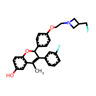 CC1=C(c2cccc(F)c2)C(c2ccc(OCCN3CC(CF)C3)cc2)Oc2ccc(O)cc21